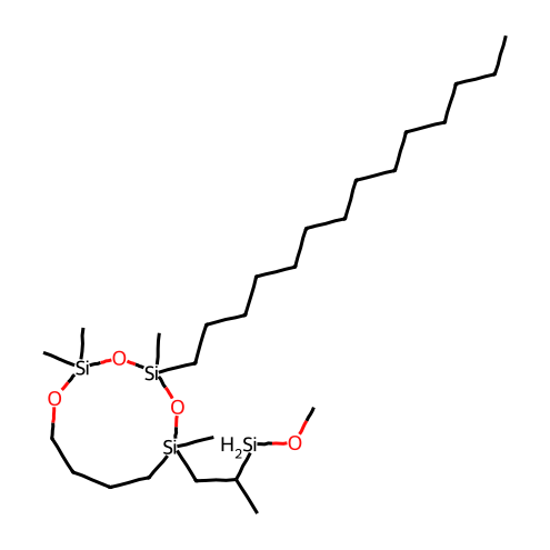 CCCCCCCCCCCCCC[Si]1(C)O[Si](C)(CC(C)[SiH2]OC)CCCCO[Si](C)(C)O1